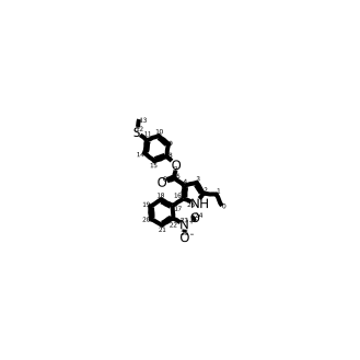 CCc1cc(C(=O)Oc2ccc(SC)cc2)c(-c2ccccc2[N+](=O)[O-])[nH]1